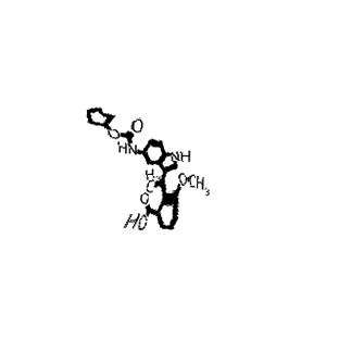 COc1cccc(C(=O)O)c1C(C)c1c[nH]c2ccc(NC(=O)OC3CCCC3)cc12